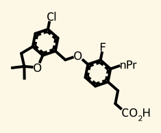 CCCc1c(CCC(=O)O)ccc(OCc2cc(Cl)cc3c2OC(C)(C)C3)c1F